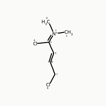 C[N+](C)=C(Cl)/C=C/CCl